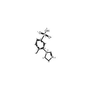 Cc1ccc(S(=O)(=O)O)cc1N1C=NCC1